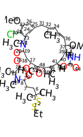 CCSSC(C)(C)CCC(=O)N(C)[C@@H](C)C(=O)O[C@H]1CC(=O)N(C)c2cc(cc(OC)c2Cl)C/C(C)=C/C=C/[C@@H](OC)[C@H]2C[C@H](OC(=O)N2)[C@@H](C)[C@@H]2O[C@@]12C